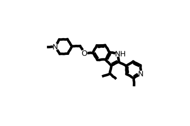 Cc1cc(-c2[nH]c3ccc(OCC4CCN(C)CC4)cc3c2C(C)C)ccn1